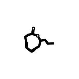 CCCC1C/C=C\C=C\CCC(=O)O1